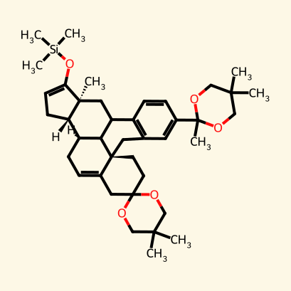 CC1(C)COC2(CC[C@@]34Cc5cc(C6(C)OCC(C)(C)CO6)ccc5C5C[C@]6(C)C(O[Si](C)(C)C)=CC[C@H]6[C@H](CC=C3C2)C54)OC1